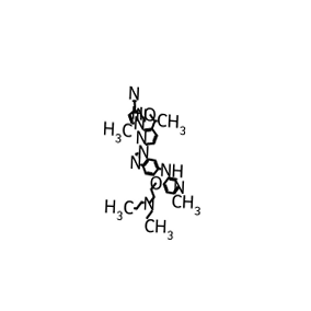 CCCN(CCC)CCOc1cc2ncn(-c3ccc(C(C)O)c(-n4nc(C#N)cc4C)n3)c2cc1Nc1ccc(C)nc1